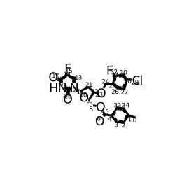 Cc1ccc(C(=O)OC[C@@H]2O[C@H](n3cc(F)c(=O)[nH]c3=O)CC2OCc2ccc(Cl)cc2F)cc1